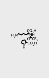 NCCCC[C@H](NC(=O)C(F)(F)F)C(=O)O.O=C(O)[C@@H]1CCCN1